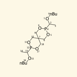 CCCCOC(C)P1OCC2(CO1)COP(C(C)OCCCC)OC2